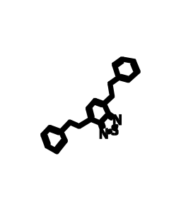 c1ccc(CCc2ccc(CCc3ccccc3)c3nsnc23)cc1